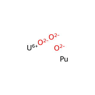 [O-2].[O-2].[O-2].[Pu].[U+6]